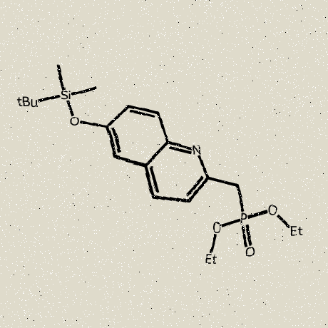 CCOP(=O)(Cc1ccc2cc(O[Si](C)(C)C(C)(C)C)ccc2n1)OCC